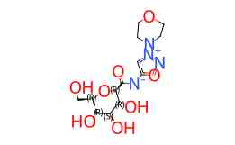 O=C([N-]c1c[n+](N2CCOCC2)no1)[C@@H]1O[C@H](CO)[C@H](O)[C@H](O)[C@H]1O